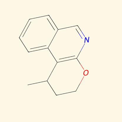 CC1CCOc2ncc3ccccc3c21